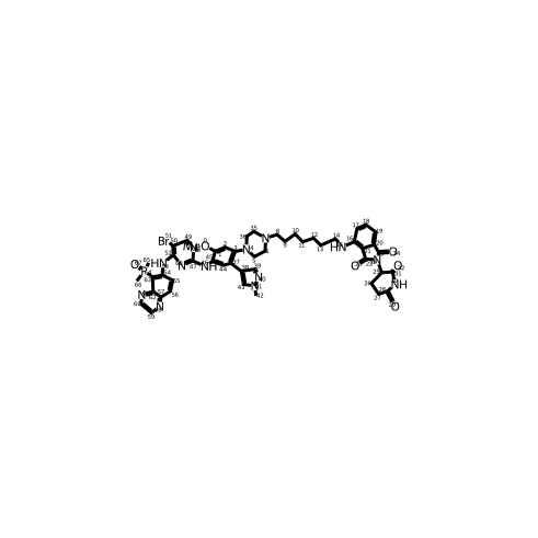 COc1cc(N2CCN(CCCCCCCNc3cccc4c3C(=O)N(C3CCC(=O)NC3=O)C4=O)CC2)c(-c2cnn(C)c2)cc1Nc1ncc(Br)c(Nc2ccc3nccnc3c2P(C)(C)=O)n1